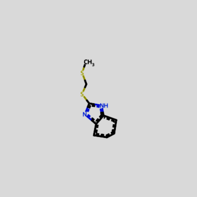 CSCSc1nc2ccccc2[nH]1